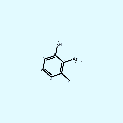 Cc1cccc(S)c1[AsH2]